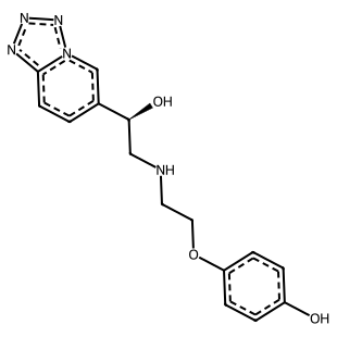 Oc1ccc(OCCNC[C@H](O)c2ccc3nnnn3c2)cc1